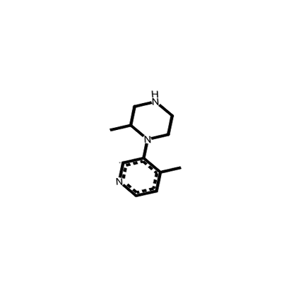 Cc1ccn[c]c1N1CCNCC1C